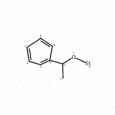 CCOC(C)c1ccccc1